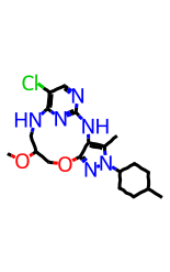 COC1CNc2nc(ncc2Cl)Nc2c(nn(C3CCC(C)CC3)c2C)OC1